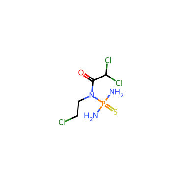 NP(N)(=S)N(CCCl)C(=O)C(Cl)Cl